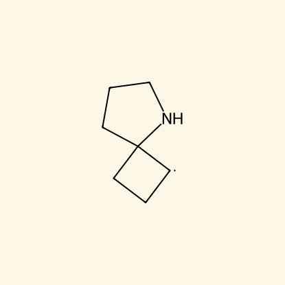 [CH]1CCC12CCCN2